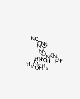 CC(C)(O)[C@H](F)CNC(=O)c1cnc(-c2cnn3cc(C#N)cnc23)cc1Nc1ccn(CC(F)F)c1